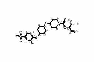 Cc1nc(S(C)(=O)=O)cnc1OC1CCC(OC2CCN(C(=O)OC(CF)C(F)F)CC2)CC1